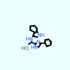 CC(Nc1c[nH]c2ccccc12)c1nc(-c2ccccc2)c[nH]1.Cl